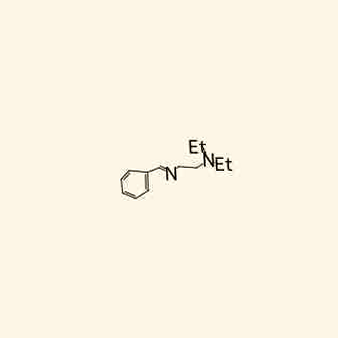 CCN(CC)CCN=Cc1ccccc1